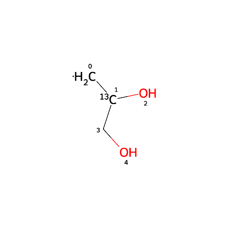 [CH2][13CH](O)CO